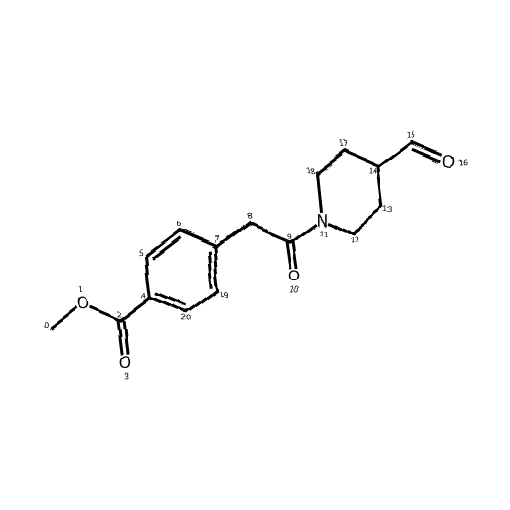 COC(=O)c1ccc(CC(=O)N2CCC(C=O)CC2)cc1